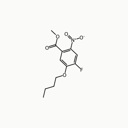 CCCCOc1cc(C(=O)OC)c([N+](=O)[O-])cc1F